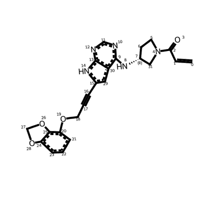 C=CC(=O)N1CC[C@@H](Nc2ncnc3[nH]c(C#CCOc4cccc5c4OCO5)cc23)C1